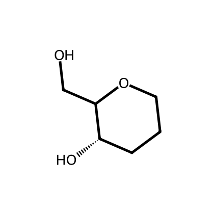 OCC1OCCC[C@@H]1O